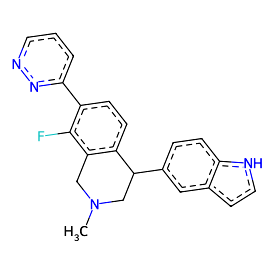 CN1Cc2c(ccc(-c3cccnn3)c2F)C(c2ccc3[nH]ccc3c2)C1